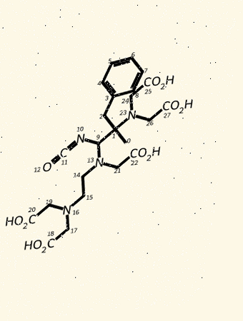 CC(Cc1ccccc1)(C(N=C=O)N(CCN(CC(=O)O)CC(=O)O)CC(=O)O)N(CC(=O)O)CC(=O)O